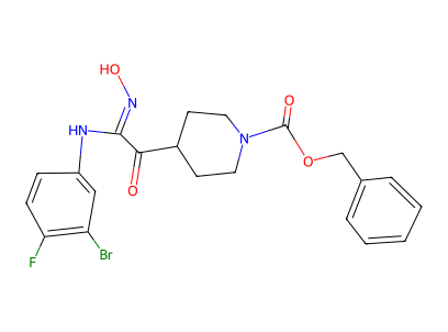 O=C(/C(=N/O)Nc1ccc(F)c(Br)c1)C1CCN(C(=O)OCc2ccccc2)CC1